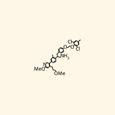 COCCCc1cc(OC)ncc1-c1ccc(C(CN)Cc2ccc(OCCOc3c(Cl)cc(C)cc3Cl)cc2)c(C)c1